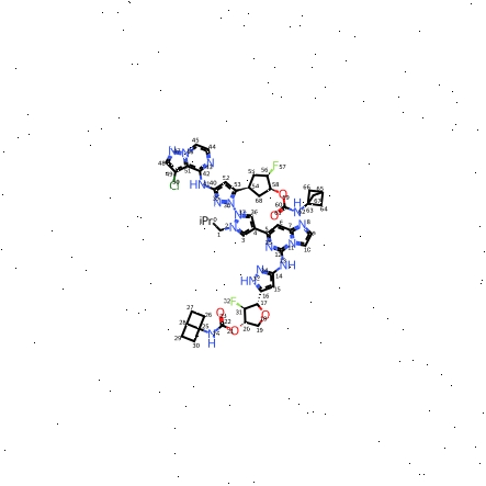 CC(C)Cn1cc(-c2cc3nccn3c(Nc3cc([C@@H]4OC[C@H](OC(=O)NC56CCC5CC6)[C@H]4F)[nH]n3)n2)c[n+]1-n1nc(Nc2nccn3ncc(Cl)c23)cc1[C@H]1C[C@@H](F)[C@@H](OC(=O)NC23CC(C2)C3)C1